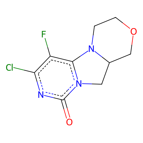 O=c1nc(Cl)c(F)c2n1CC1COCCN21